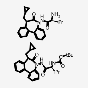 CC(C)[C@H](N)C(=O)NN1C(=O)C(CC2CC2)c2ccccc2-c2ccccc21.CC(C)[C@H](NC(=O)OC(C)(C)C)C(=O)NN1C(=O)C(CC2CC2)c2ccccc2-c2ccccc21